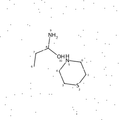 C1CSCCN1.CCC(N)O